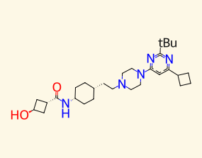 CC(C)(C)c1nc(C2CCC2)cc(N2CCN(CC[C@H]3CC[C@@H](NC(=O)[C@H]4C[C@H](O)C4)CC3)CC2)n1